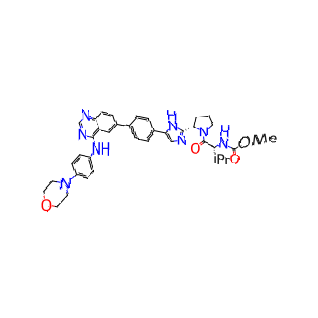 COC(=O)N[C@@H](C(=O)N1CCC[C@H]1c1ncc(-c2ccc(-c3ccc4ncnc(Nc5ccc(N6CCOCC6)cc5)c4c3)cc2)[nH]1)C(C)C